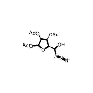 CC(=O)OC1O[C@H](C(O)N=[N+]=[N-])[C@@H](OC(C)=O)[C@@H]1OC(C)=O